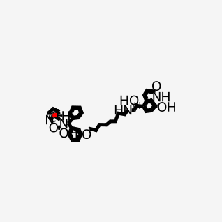 O=C(O)N(C(c1ccccc1)c1cccc(OCCCCCCCCNC[C@H](O)c2ccc(O)c3[nH]c(=O)ccc23)c1)[C@H]1CN2CCC1CC2